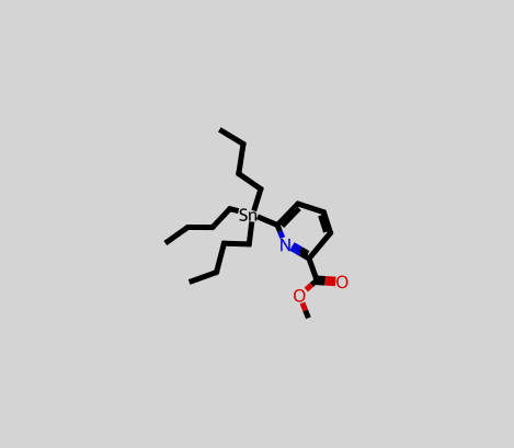 CCC[CH2][Sn]([CH2]CCC)([CH2]CCC)[c]1cccc(C(=O)OC)n1